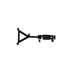 C#[N+]C1CC1